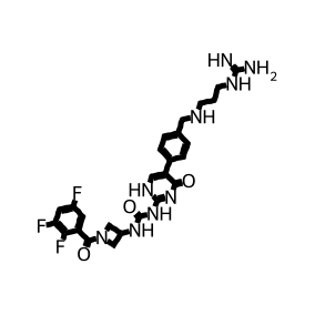 N=C(N)NCCCNCc1ccc(-c2c[nH]c(NC(=O)NC3CN(C(=O)c4cc(F)cc(F)c4F)C3)nc2=O)cc1